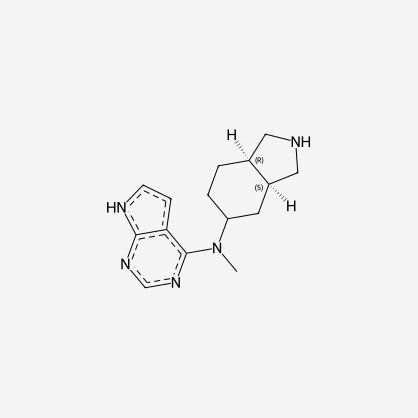 CN(c1ncnc2[nH]ccc12)C1CC[C@H]2CNC[C@H]2C1